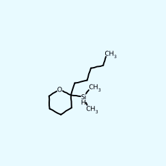 CCCCCC1([SiH](C)C)CCCCO1